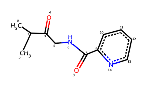 CC(C)C(=O)CNC(=O)c1ccccn1